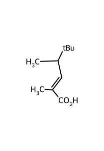 CC(=CC(C)C(C)(C)C)C(=O)O